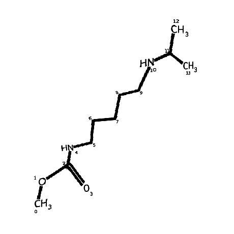 COC(=O)NCCCCCNC(C)C